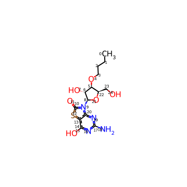 CCCCO[C@@H]1[C@@H](O)[C@H](n2c(=O)sc3c(O)nc(N)nc32)O[C@@H]1CO